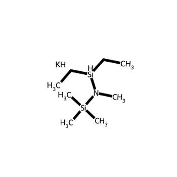 CC[SiH](CC)N(C)[Si](C)(C)C.[KH]